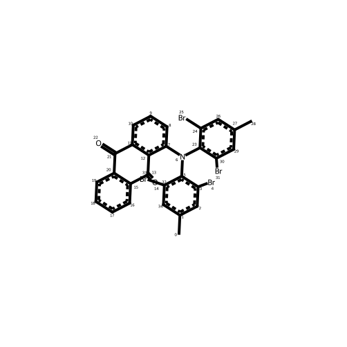 Cc1cc(Br)c(N(c2cccc3c2C(=O)c2ccccc2C3=O)c2c(Br)cc(C)cc2Br)c(Br)c1